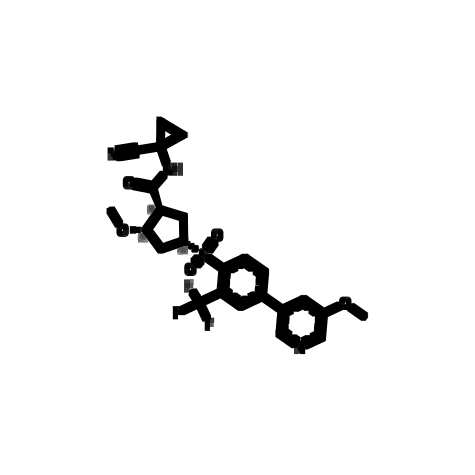 COc1cncc(-c2ccc(S(=O)(=O)[C@@H]3C[C@H](OC)[C@@H](C(=O)NC4(C#N)CC4)C3)c(C(F)(F)F)c2)c1